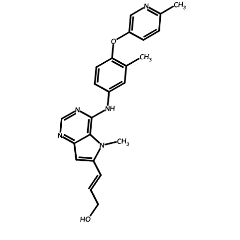 Cc1ccc(Oc2ccc(Nc3ncnc4cc(C=CCO)n(C)c34)cc2C)cn1